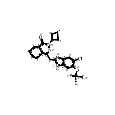 O=c1c2ccccc2c(Cc2nc3cc(Cl)c(OC(F)(F)F)cc3[nH]2)nn1C1CCC1